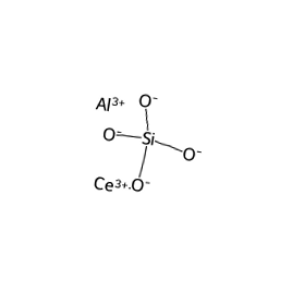 [Al+3].[Ce+3].[O-][Si]([O-])([O-])[O-]